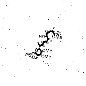 CC[C@H](OC)[C@@H](C)[C@H]1O[C@@H]1[C@H](O)[C@H](C)/C=C/C=C(\C)[C@H]1O[C@H](OC)[C@H](OC)[C@@H](OC)[C@@H]1OC